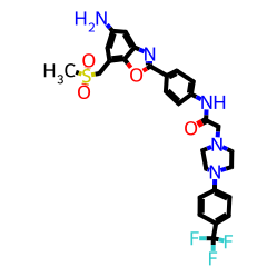 CS(=O)(=O)Cc1cc(N)cc2nc(-c3ccc(NC(=O)CN4CCN(c5ccc(C(F)(F)F)cc5)CC4)cc3)oc12